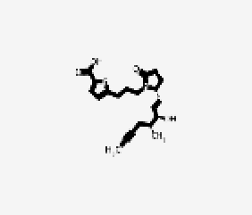 CC#CC[C@@H](C)[C@H](O)/C=C/[C@H]1CCC(=O)N1CCCc1ccc(C(=O)O)s1